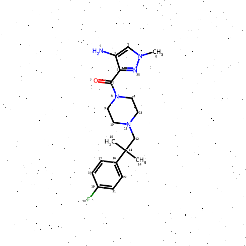 Cn1cc(N)c(C(=O)N2CCN(CC(C)(C)c3ccc(F)cc3)CC2)n1